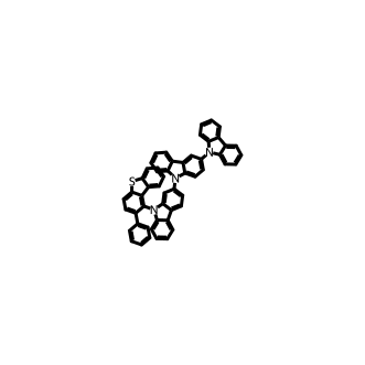 c1ccc(-c2ccc3sc4ccccc4c3c2-n2c3ccccc3c3ccc(-n4c5ccccc5c5cc(-n6c7ccccc7c7ccccc76)ccc54)cc32)cc1